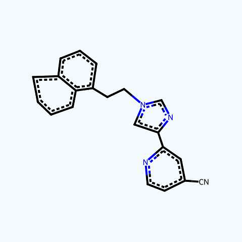 N#Cc1ccnc(-c2cn(CCc3cccc4ccccc34)cn2)c1